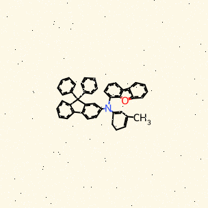 CC1=CCCC(N(c2ccc3c(c2)C(c2ccccc2)(c2ccccc2)c2ccccc2-3)c2cccc3c2oc2ccccc23)=C1